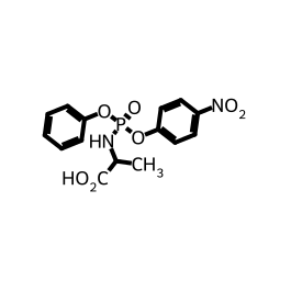 CC(NP(=O)(Oc1ccccc1)Oc1ccc([N+](=O)[O-])cc1)C(=O)O